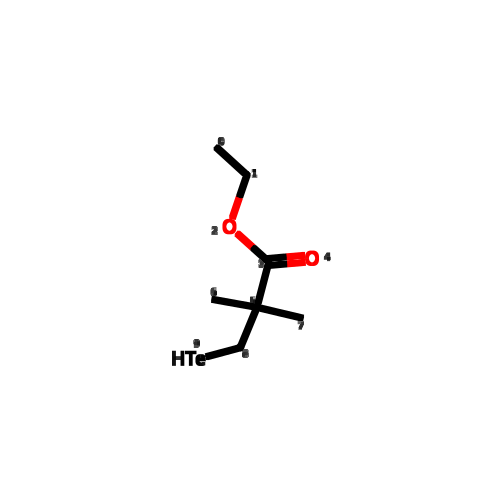 CCOC(=O)C(C)(C)C[TeH]